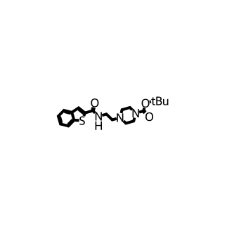 CC(C)(C)OC(=O)N1CCN(CCNC(=O)c2cc3ccccc3s2)CC1